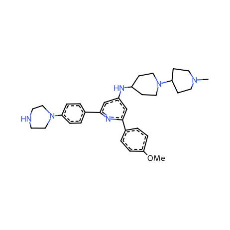 COc1ccc(-c2cc(NC3CCN(C4CCN(C)CC4)CC3)cc(-c3ccc(N4CCNCC4)cc3)n2)cc1